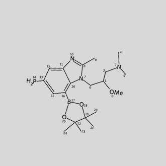 COC(CN(C)C)Cn1c(C)nc2cc(P)cc(B3OC(C)(C)C(C)(C)O3)c21